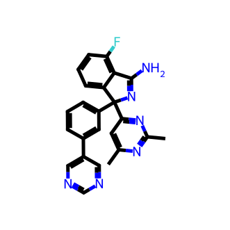 Cc1cc(C2(c3cccc(-c4cncnc4)c3)N=C(N)c3c(F)cccc32)nc(C)n1